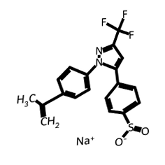 C=C(C)c1ccc(-n2nc(C(F)(F)F)cc2-c2ccc(S(=O)[O-])cc2)cc1.[Na+]